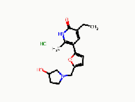 CCc1cc(-c2ccc(CN3CCC(O)C3)o2)c(C)[nH]c1=O.Cl